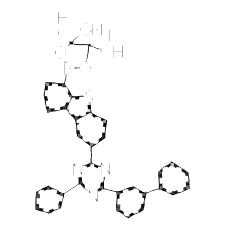 CC1(C)OB(c2cccc3c2sc2ccc(-c4nc(-c5ccccc5)nc(-c5cccc(-c6ccccc6)c5)n4)cc23)OC1(C)C